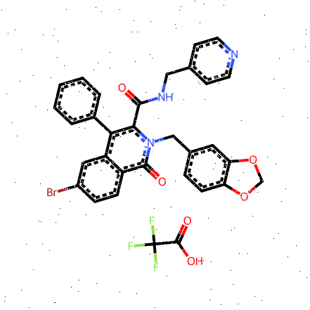 O=C(NCc1ccncc1)c1c(-c2ccccc2)c2cc(Br)ccc2c(=O)n1Cc1ccc2c(c1)OCO2.O=C(O)C(F)(F)F